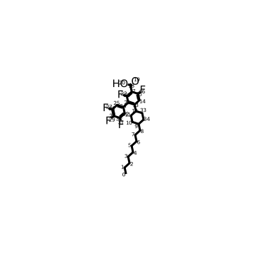 CCCCCCCCCC1CCC(c2cc(F)c(C(=O)O)c(F)c2-c2cc(F)c(F)c(F)c2)CC1